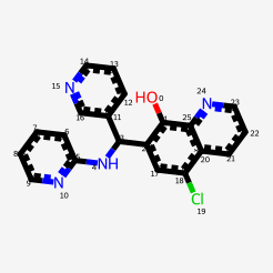 Oc1c(C(Nc2ccccn2)c2cccnc2)cc(Cl)c2cccnc12